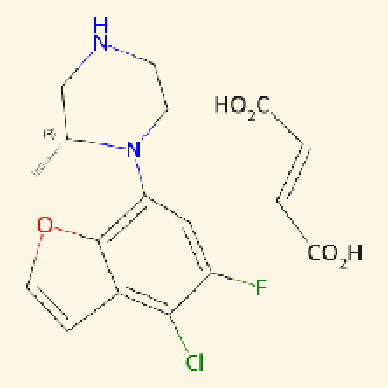 C[C@@H]1CNCCN1c1cc(F)c(Cl)c2ccoc12.O=C(O)C=CC(=O)O